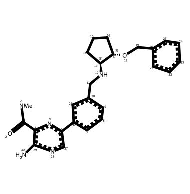 CNC(=O)c1nc(-c2cccc(CN[C@H]3CCC[C@@H]3OCc3ccccc3)c2)cnc1N